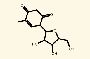 O=C1CC(=O)C(C2OC(CO)C(O)C2O)C=C1F